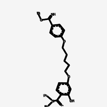 CCOC(=N)c1ccc(OCCCCCOc2ccc(C(=O)N(C(C)C)C(C)C)c(O)c2)cc1